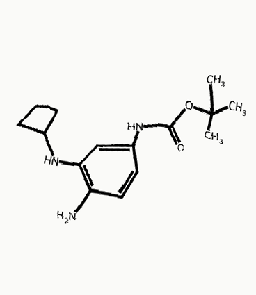 CC(C)(C)OC(=O)Nc1ccc(N)c(NC2CCC2)c1